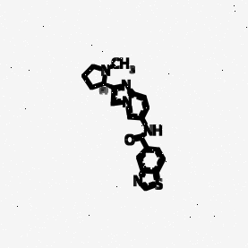 CN1CCC[C@@H]1c1cn2cc(NC(=O)c3ccc4scnc4c3)ccc2n1